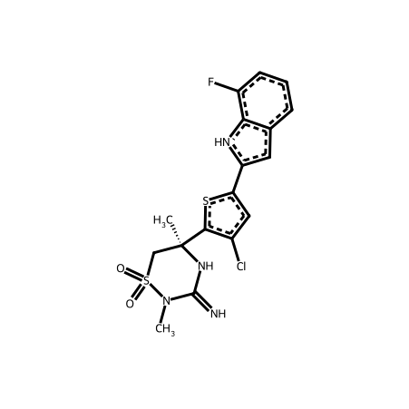 CN1C(=N)N[C@](C)(c2sc(-c3cc4cccc(F)c4[nH]3)cc2Cl)CS1(=O)=O